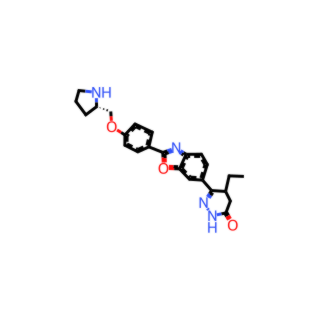 CCC1CC(=O)NN=C1c1ccc2nc(-c3ccc(OC[C@@H]4CCCN4)cc3)oc2c1